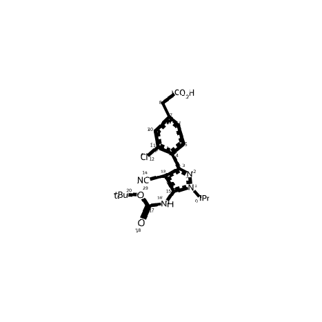 CC(C)n1nc(-c2ccc(CC(=O)O)cc2Cl)c(C#N)c1NC(=O)OC(C)(C)C